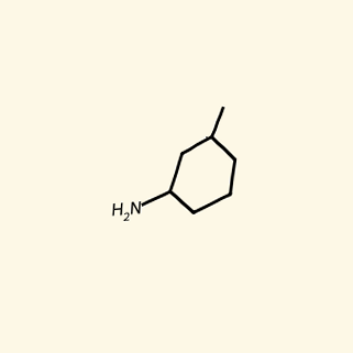 C[C]1CCCC(N)C1